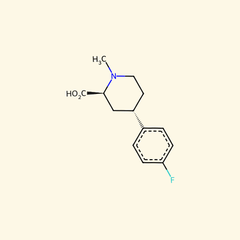 CN1CC[C@H](c2ccc(F)cc2)C[C@H]1C(=O)O